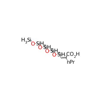 CCCC(=C[SiH2]O[SiH2]O[SiH2]O[SiH2]O[SiH3])C(=O)O